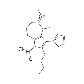 CCCCC1=C(C2=CC=CC2)C2=C(CCC[C](=[Ge]([CH3])[CH3])C2C)[CH]1[Hf]([Cl])[Cl]